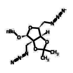 CCCCO[C@@H]1O[C@H](CN=[N+]=[N-])[C@H]2OC(C)(C)O[C@@]12CN=[N+]=[N-]